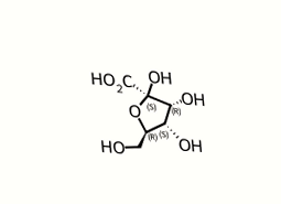 O=C(O)[C@@]1(O)O[C@H](CO)[C@@H](O)[C@H]1O